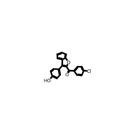 O=C(c1ccc(Cl)cc1)c1oc2ccccc2c1-c1ccc(O)cc1